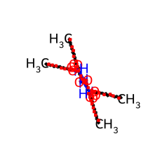 CCCCCCCCCCCCCCC(=O)OCCN(CCCCC1NC(=O)C(CCCCN(CCOC(=O)CCCCCCCCCCCCCC)CCOC(=O)CCCCCCCCCCCCCC)NC1=O)CCOC(=O)CCCCCCCCCCCCCC